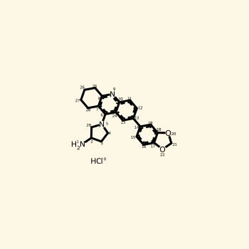 Cl.NC1CCN(c2c3c(nc4ccc(-c5ccc6c(c5)OCO6)cc24)CCCC3)C1